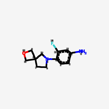 Nc1ccc(N2CCC3(COC3)C2)c(F)c1